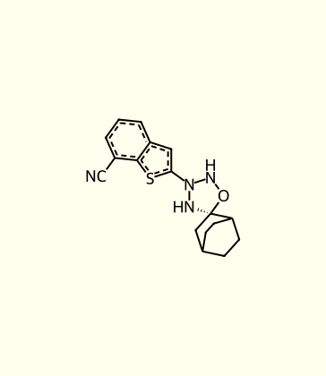 N#Cc1cccc2cc(N3NO[C@@]4(CC5CCC4CC5)N3)sc12